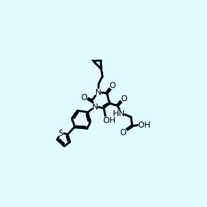 O=C(O)CNC(=O)c1c(O)n(-c2ccc(-c3cccs3)cc2)c(=O)n(CCC2CC2)c1=O